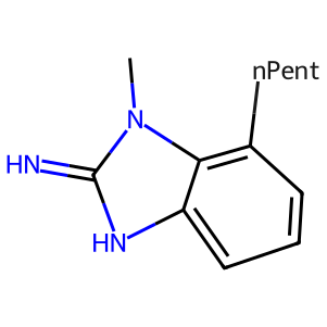 CCCCCc1cccc2[nH]c(=N)n(C)c12